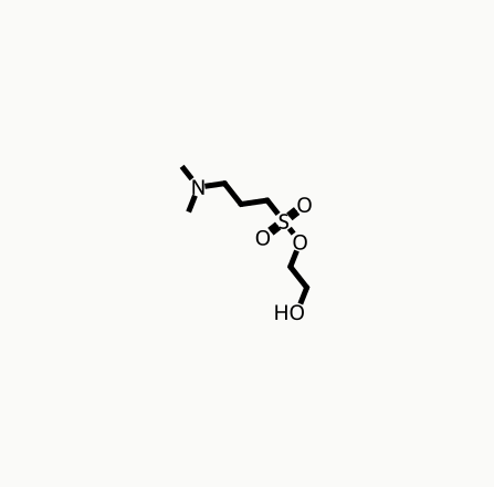 CN(C)CCCS(=O)(=O)OCCO